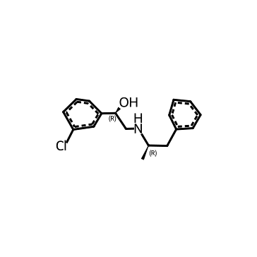 C[C@H](Cc1ccccc1)NC[C@H](O)c1cccc(Cl)c1